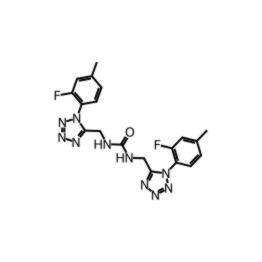 Cc1ccc(-n2nnnc2CNC(=O)NCc2nnnn2-c2ccc(C)cc2F)c(F)c1